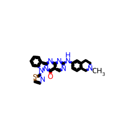 CN1CCc2cc(Nc3ncc4c(=O)n5c(nc4n3)c3ccccc3n5-c3nccs3)ccc2C1